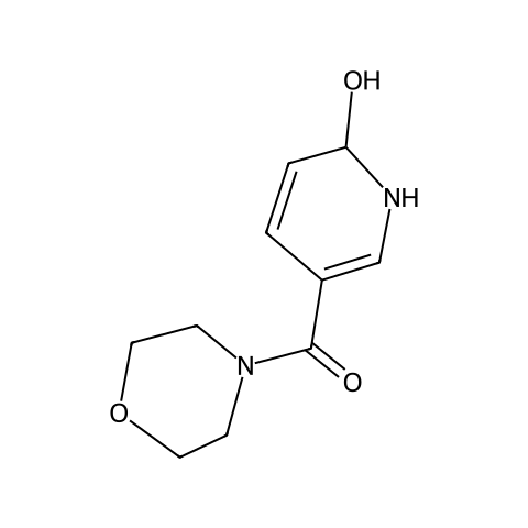 O=C(C1=CNC(O)C=C1)N1CCOCC1